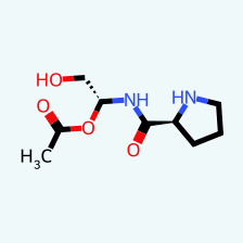 CC(=O)O[C@H](CO)NC(=O)[C@@H]1CCCN1